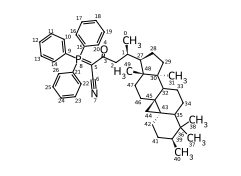 C[C@H](CC(=O)C(C#N)=P(c1ccccc1)(c1ccccc1)c1ccccc1)[C@H]1CC[C@@]2(C)C3CCC4C(C)(C)[C@@H](C)CC[C@@]45C[C@@]35CC[C@]12C